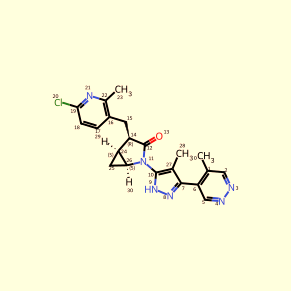 Cc1cnncc1-c1n[nH]c(N2C(=O)[C@H](Cc3ccc(Cl)nc3C)[C@@H]3C[C@@H]32)c1C